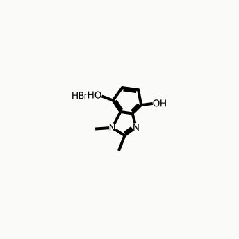 Br.Cc1nc2c(O)ccc(O)c2n1C